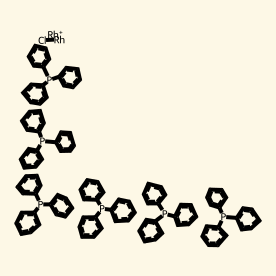 [Cl][Rh].[Rh+].c1ccc(P(c2ccccc2)c2ccccc2)cc1.c1ccc(P(c2ccccc2)c2ccccc2)cc1.c1ccc(P(c2ccccc2)c2ccccc2)cc1.c1ccc(P(c2ccccc2)c2ccccc2)cc1.c1ccc(P(c2ccccc2)c2ccccc2)cc1.c1ccc(P(c2ccccc2)c2ccccc2)cc1